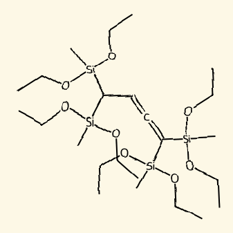 CCO[Si](C)(OCC)C(=C=CC([Si](C)(OCC)OCC)[Si](C)(OCC)OCC)[Si](C)(OCC)OCC